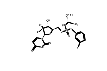 CCOC(=O)[C@H](C)NP(=O)(OC[C@H]1O[C@@H](n2ccc(=O)[nH]c2=O)[C@](Cl)(Br)[C@@H]1O)Oc1cccc(F)c1